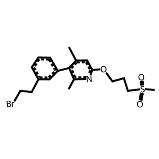 Cc1cc(OCCCS(C)(=O)=O)nc(C)c1-c1cccc(CCBr)c1